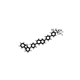 C[Si](C)(C)c1ccc(-c2ccc(-c3ccc4cc(-c5ccc(-c6cccc7c6oc6ccccc67)cc5)ccc4c3)cc2)cc1